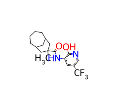 CC1(C(=O)Nc2cc(C(F)(F)F)cnc2O)CC2CCCCC(C2)C1